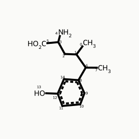 CC(CC(N)C(=O)O)C(C)c1cccc(O)c1